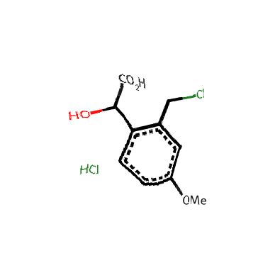 COc1ccc(C(O)C(=O)O)c(CCl)c1.Cl